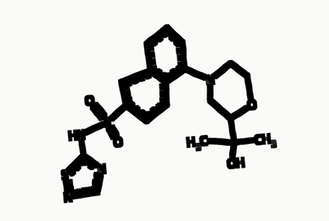 CC(C)(O)C1CN(c2cccc3cc(S(=O)(=O)Nc4ncns4)ccc23)CCO1